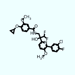 COc1cc(C(=O)NCC(O)(c2ccc(OC)c(-c3ccc(F)c(Cl)c3)n2)C(F)F)ccc1OC1CC1